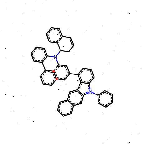 C1=Cc2ccccc2C(N(c2cccc(-c3cccc4c3c3cc5ccccc5cc3n4-c3ccccc3)c2)c2ccccc2-c2ccccc2)C1